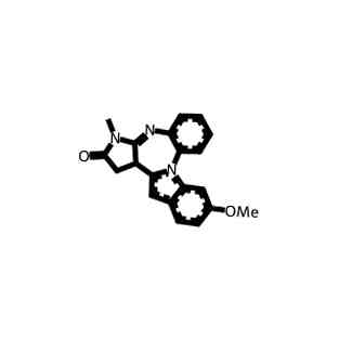 COc1ccc2cc3n(c2c1)-c1ccccc1N=C1C3CC(=O)N1C